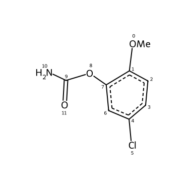 COc1ccc(Cl)cc1OC(N)=O